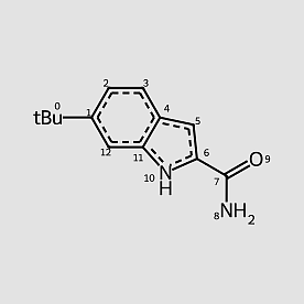 CC(C)(C)c1ccc2cc(C(N)=O)[nH]c2c1